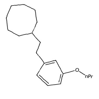 CCCOc1cccc(CCC2CCCCCCC2)c1